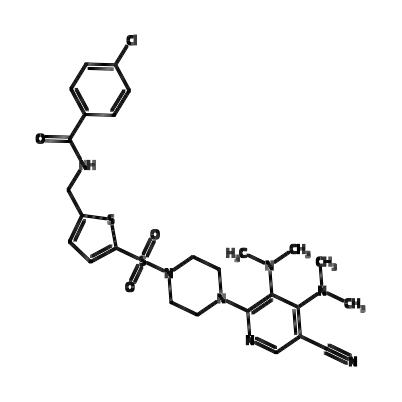 CN(C)c1c(C#N)cnc(N2CCN(S(=O)(=O)c3ccc(CNC(=O)c4ccc(Cl)cc4)s3)CC2)c1N(C)C